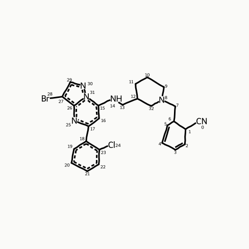 N#CC1C=CC=CC1CN1CCCC(CNc2cc(-c3ccccc3Cl)nc3c(Br)cnn23)C1